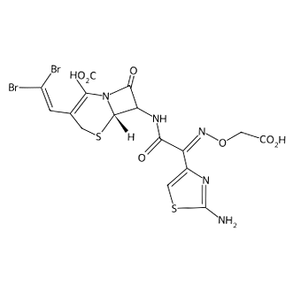 Nc1nc(C(=NOCC(=O)O)C(=O)NC2C(=O)N3C(C(=O)O)=C(C=C(Br)Br)CS[C@@H]23)cs1